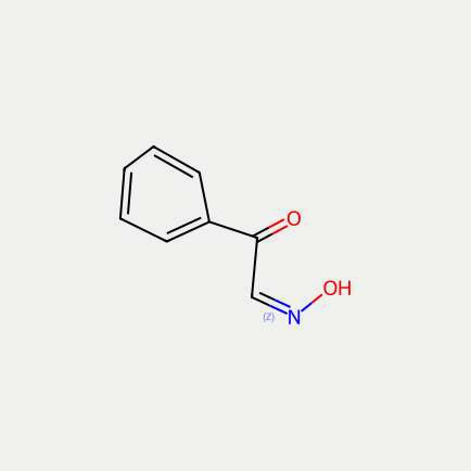 O=C(/C=N\O)c1ccccc1